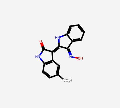 O=C1Nc2ccc(C(=O)O)cc2/C1=C1/Nc2ccccc2/C1=N\O